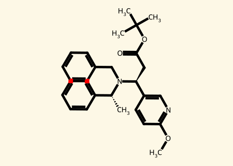 COc1ccc([C@H](CC(=O)OC(C)(C)C)N(Cc2ccccc2)[C@H](C)c2ccccc2)cn1